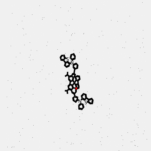 CC(C)c1cc2c(c3ccc(-c4cccc(N(c5ccccc5)c5cccc6c5sc5ccccc56)c4)cc13)C1(c3ccccc3-c3ccccc31)c1c-2cc(C(C)C)c2cc(-c3cccc(N(c4ccccc4)c4cccc5c4sc4ccccc45)c3)ccc12